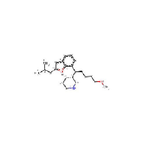 COCCCC[C@H](c1cccc2cc(CC(C)C)oc12)[C@H]1CCCNC1